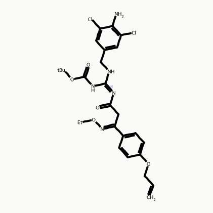 C=CCOc1ccc(C(CC(=O)/N=C(/NCc2cc(Cl)c(N)c(Cl)c2)NC(=O)OC(C)(C)C)=NOCC)cc1